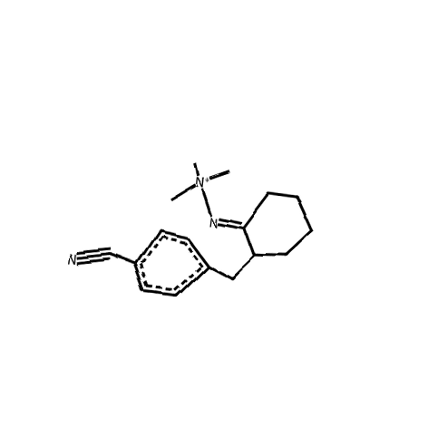 C[N+](C)(C)N=C1CCCCC1Cc1ccc(C#N)cc1